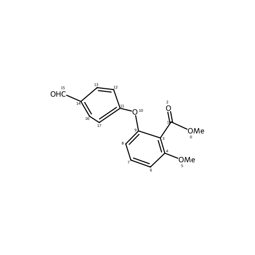 COC(=O)c1c(OC)cccc1Oc1ccc(C=O)cc1